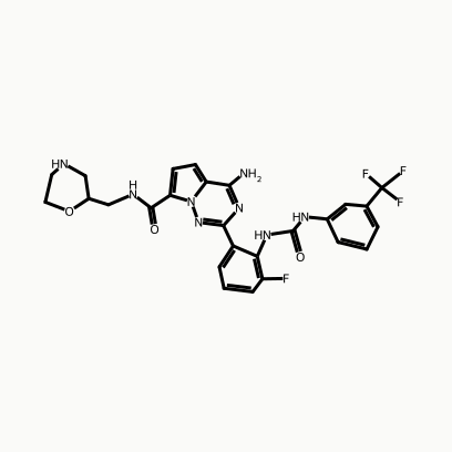 Nc1nc(-c2cccc(F)c2NC(=O)Nc2cccc(C(F)(F)F)c2)nn2c(C(=O)NCC3CNCCO3)ccc12